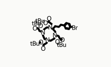 CC(C)(C)OC(=O)CN1CCN(CC(=O)OC(C)(C)C)CCN(CC(=O)OC(C)(C)C)C(CCCc2ccc(Br)cc2)CN(CC(=O)OC(C)(C)C)CC1